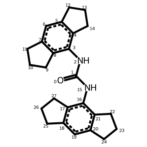 O=C(Nc1c2c(cc3c1CCC3)CCC2)Nc1c2c(cc3c1CCC3)CCC2